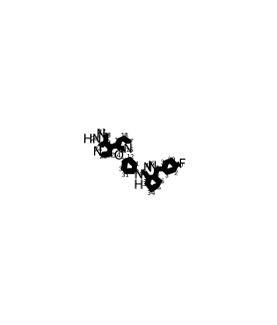 Fc1ccc(-c2nnc(Nc3ccc(Oc4ncccc4-c4ccnc5[nH]ncc45)cc3)c3ccccc23)cc1